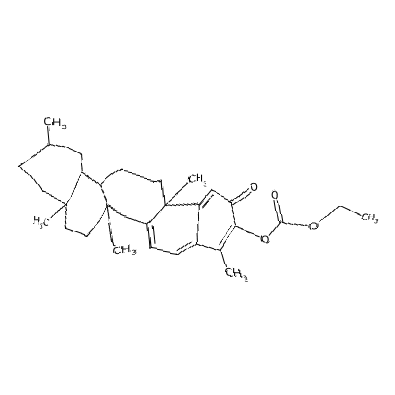 CCOC(=O)OC1=C(C)C2=CC=C3C(C)(CCC4C5CC(C)CCC5(C)CCC34C)C2=CC1=O